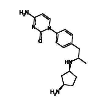 CC(Cc1ccc(-n2ccc(N)nc2=O)cc1)N[C@H]1CC[C@@H](N)C1